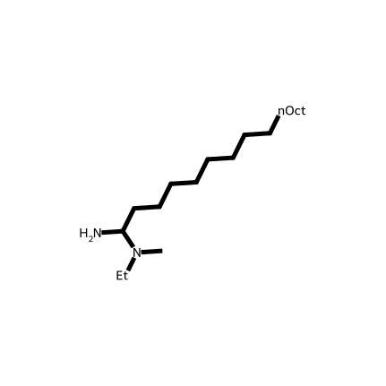 CCCCCCCCCCCCCCCCC(N)N(C)CC